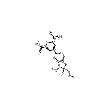 CCOP(=O)(Cc1nnc(-c2cc(C(=O)O)cc(C(=O)O)c2)nn1)OCC